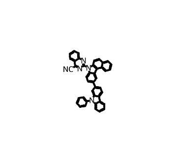 N#Cc1nc(-n2c3ccc(-c4ccc5c6ccccc6n(-c6ccccc6)c5c4)cc3c3c4ccccc4ccc32)nc2ccccc12